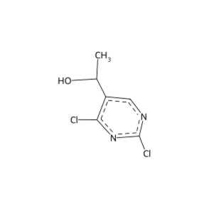 CC(O)c1cnc(Cl)nc1Cl